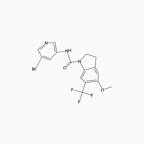 COc1cc2c(cc1C(F)(F)F)N(C(=O)Nc1cncc(Br)c1)CC2